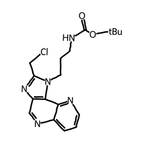 CC(C)(C)OC(=O)NCCCn1c(CCl)nc2cnc3cccnc3c21